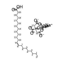 CCCCCCCC/C=C\CCCCCCCCCCCC(=O)O.O=C([O-])CC(O)(CC(=O)[O-])C(=O)[O-].[Na+].[Na+].[Na+]